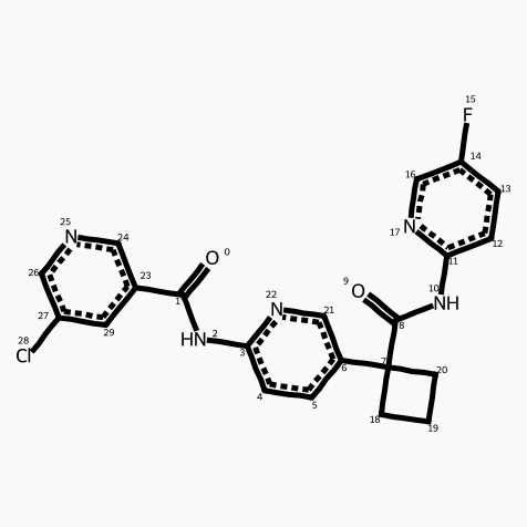 O=C(Nc1ccc(C2(C(=O)Nc3ccc(F)cn3)CCC2)cn1)c1cncc(Cl)c1